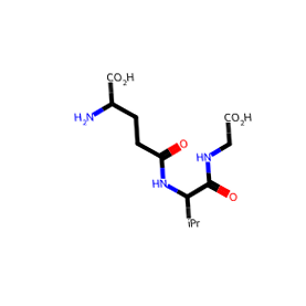 CC(C)C(NC(=O)CCC(N)C(=O)O)C(=O)NCC(=O)O